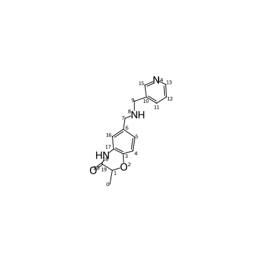 CC1Oc2ccc(CNCc3cccnc3)cc2NC1=O